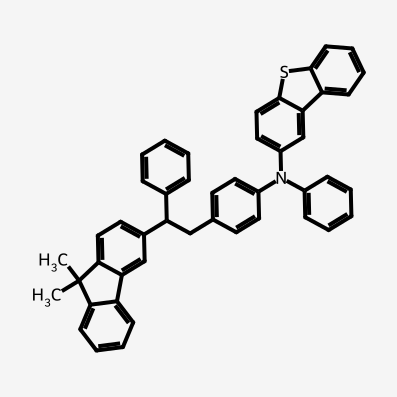 CC1(C)c2ccccc2-c2cc(C(Cc3ccc(N(c4ccccc4)c4ccc5sc6ccccc6c5c4)cc3)c3ccccc3)ccc21